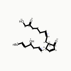 CCCCC=CC(O)C/C=C/[C@H]1C=CC(=O)[C@@H]1C/C=C\CCCC(=O)CO